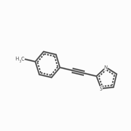 Cc1ccc(C#Cc2nccs2)cc1